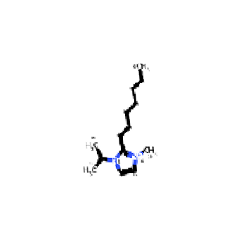 CCCCCCCc1n(C(C)C)cc[n+]1C